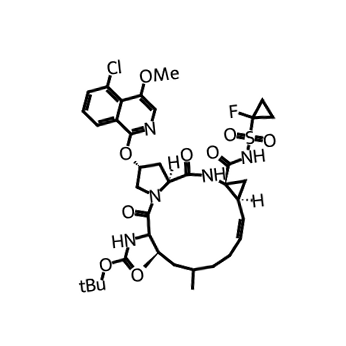 COc1cnc(O[C@@H]2C[C@H]3C(=O)N[C@]4(C(=O)NS(=O)(=O)C5(F)CC5)C[C@H]4/C=C\CCC(C)C[C@@H](C)C(NC(=O)OC(C)(C)C)C(=O)N3C2)c2cccc(Cl)c12